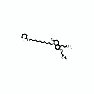 C=CCOc1ccc2c(c1CC=C)CCC(=O)N2CCCCCCCCCCOC1CCCCO1